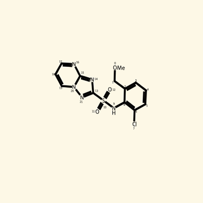 COCc1cccc(Cl)c1NS(=O)(=O)c1nc2ncccn2n1